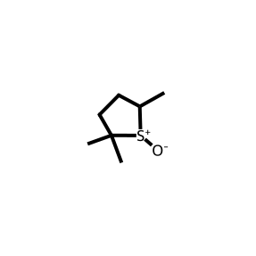 CC1CCC(C)(C)[S+]1[O-]